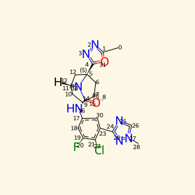 Cc1nnc([C@]23C[C@H](C)CC[C@H](C2)N3C(=O)Nc2cc(F)c(Cl)c(-c3ncn(C)n3)c2)o1